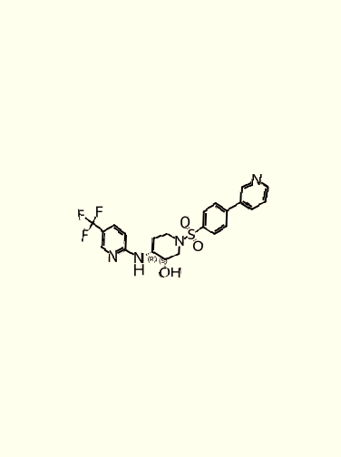 O=S(=O)(c1ccc(-c2cccnc2)cc1)N1CC[C@@H](Nc2ccc(C(F)(F)F)cn2)[C@@H](O)C1